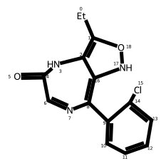 CCC1=C2NC(=O)C=NC(c3ccccc3Cl)=C2NO1